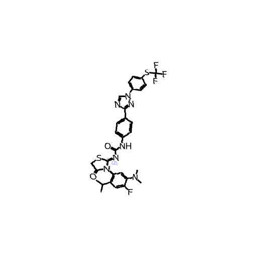 CC(C)c1cc(F)c(N(C)C)cc1N1C(=O)CS/C1=N\C(=O)Nc1ccc(-c2ncn(-c3ccc(SC(F)(F)F)cc3)n2)cc1